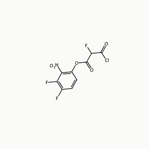 O=C(Cl)C(F)C(=O)Oc1ccc(F)c(F)c1[N+](=O)[O-]